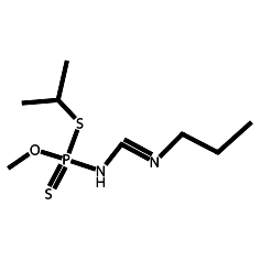 CCCN=CNP(=S)(OC)SC(C)C